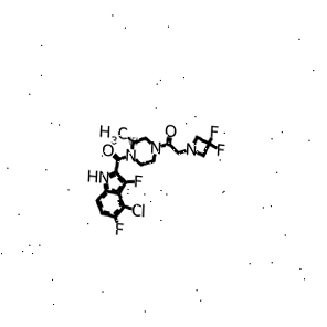 C[C@H]1CN(C(=O)CN2CC(F)(F)C2)CCN1C(=O)c1[nH]c2ccc(F)c(Cl)c2c1F